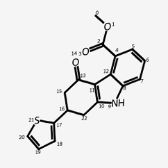 COC(=O)c1cccc2[nH]c3c(c12)C(=O)CC(c1cccs1)C3